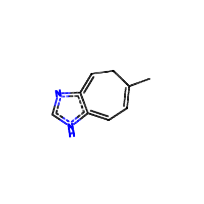 CC1=CC=c2[nH]cnc2=CC1